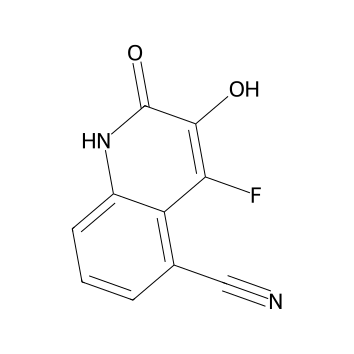 N#Cc1cccc2[nH]c(=O)c(O)c(F)c12